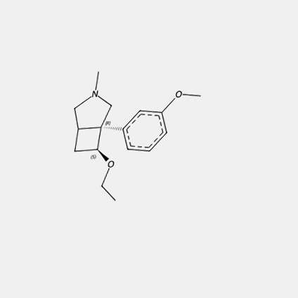 CCO[C@H]1CC2CN(C)C[C@]21c1cccc(OC)c1